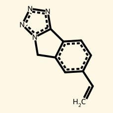 C=Cc1ccc2c(c1)Cn1nnnc1-2